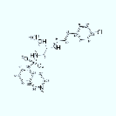 Cl.Cl.O=S(=O)(NCCNCC=Cc1ccc(Cl)cc1)c1cccc2cnccc12